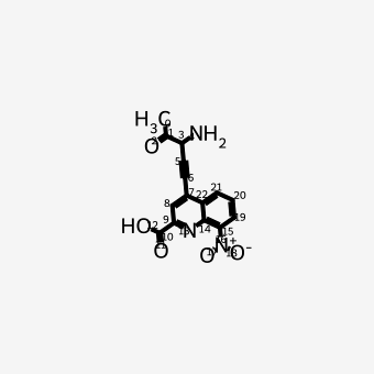 CC(=O)C(N)C#Cc1cc(C(=O)O)nc2c([N+](=O)[O-])cccc12